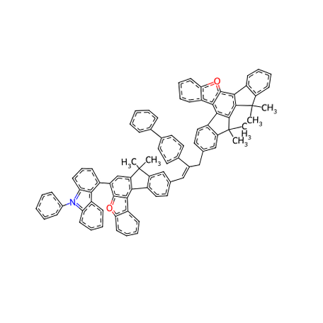 CC1(C)c2cc(/C=C(/Cc3ccc4c(c3)C(C)(C)c3c5c(c6oc7ccccc7c6c3-4)-c3ccccc3C5(C)C)c3ccc(-c4ccccc4)cc3)ccc2-c2c1cc(-c1cccc3c1c1ccccc1n3-c1ccccc1)c1oc3ccccc3c21